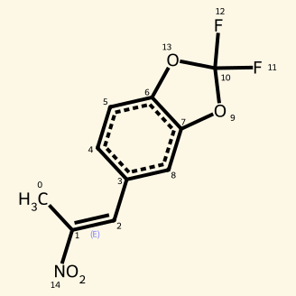 C/C(=C\c1ccc2c(c1)OC(F)(F)O2)[N+](=O)[O-]